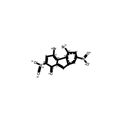 O=C1C2=Cc3cc([N+](=O)[O-])cc(Br)c3C2=C(Br)C=C1[N+](=O)[O-]